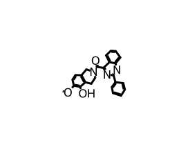 COc1ccc2c(c1O)CCN(C(=O)c1nc(-c3ccccc3)nc3ccccc13)C2